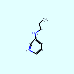 CCCNc1cccnc1